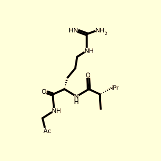 CC(=O)CNC(=O)[C@H](CCCNC(=N)N)NC(=O)[C@@H](C)C(C)C